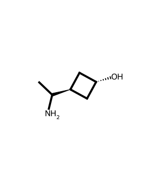 CC(N)[C@H]1C[C@H](O)C1